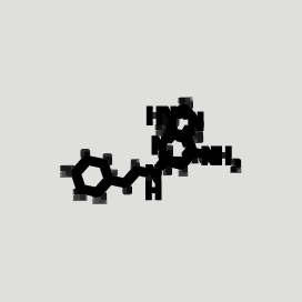 Nc1cc(NCCC2CCCCC2)nc2[nH]cnc12